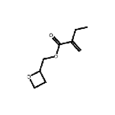 C=C(CC)C(=O)OCC1CCO1